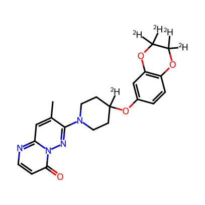 [2H]C1(Oc2ccc3c(c2)OC([2H])([2H])C([2H])([2H])O3)CCN(c2nn3c(=O)ccnc3cc2C)CC1